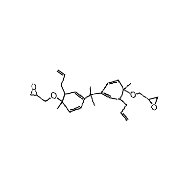 C=CCC1C=C(C(C)(C)C2=CC(CC=C)C(C)(OCC3CO3)C=C2)C=CC1(C)OCC1CO1